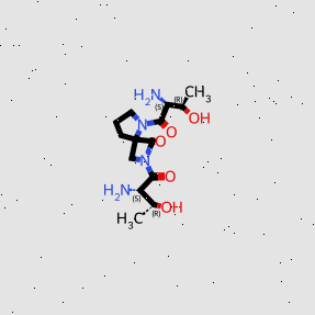 C[C@@H](O)[C@H](N)C(=O)N1CC2(CCCN2C(=O)[C@@H](N)[C@@H](C)O)C1=O